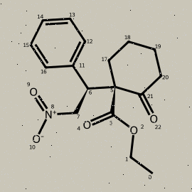 CCOC(=O)[C@@]1([C@@H](C[N+](=O)[O-])c2ccccc2)CCCCC1=O